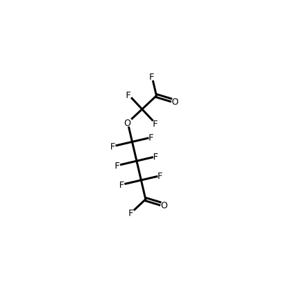 O=C(F)C(F)(F)OC(F)(F)C(F)(F)C(F)(F)C(=O)F